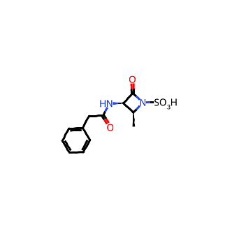 C[C@H]1[C@@H](NC(=O)Cc2ccccc2)C(=O)N1S(=O)(=O)O